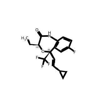 CC[C@@H]1O[C@](C=CC2CC2)(C(F)(F)F)c2cc(F)ccc2NC1=O